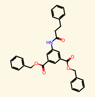 O=C([CH]Cc1ccccc1)Nc1cc(C(=O)OCc2ccccc2)cc(C(=O)OCc2ccccc2)c1